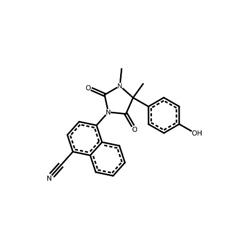 CN1C(=O)N(c2ccc(C#N)c3ccccc23)C(=O)C1(C)c1ccc(O)cc1